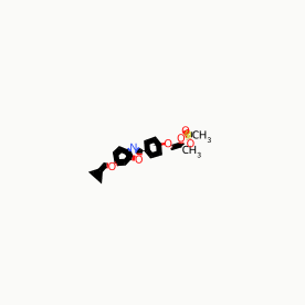 CC(CO[C@H]1CC[C@H](c2nc3ccc(OCC4CC4)cc3o2)CC1)OS(C)(=O)=O